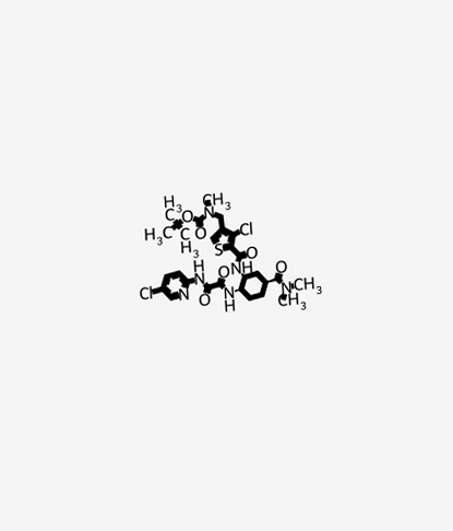 CN(C)C(=O)[C@H]1CC[C@H](NC(=O)C(=O)Nc2ccc(Cl)cn2)[C@H](NC(=O)c2scc(CN(C)C(=O)OC(C)(C)C)c2Cl)C1